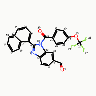 O=Cc1ccc2nc(-c3cccc4ccccc34)n(C(=O)c3ccc(OC(F)(F)F)cc3)c2c1